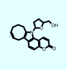 O=c1ccc2c(ccc3c4c(n(C5CCC(CO)O5)c32)CCC/C=C\C4)o1